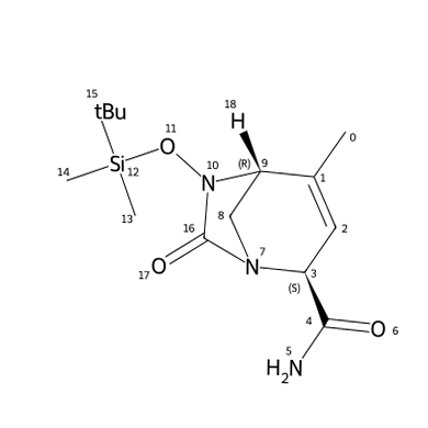 CC1=C[C@@H](C(N)=O)N2C[C@@H]1N(O[Si](C)(C)C(C)(C)C)C2=O